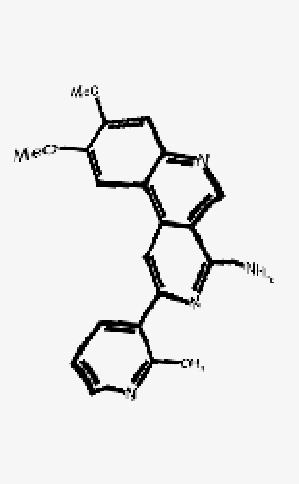 COc1cc2ncc3c(N)nc(-c4cccnc4C)cc3c2cc1OC